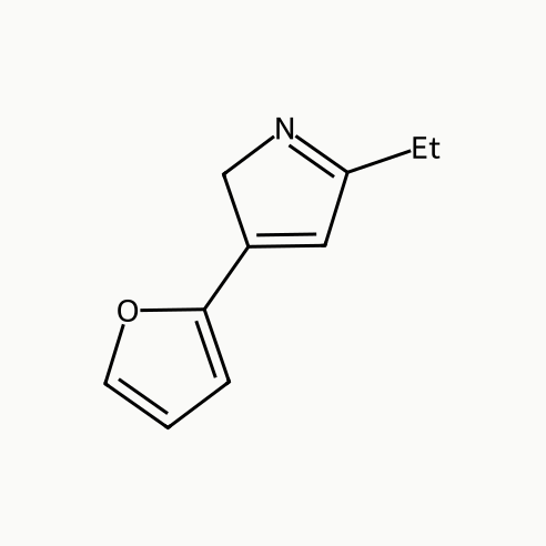 CCC1=NCC(c2ccco2)=C1